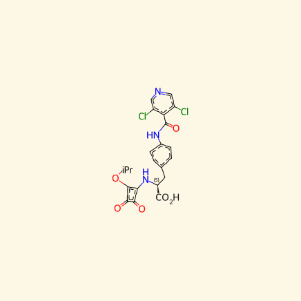 CC(C)Oc1c(N[C@@H](Cc2ccc(NC(=O)c3c(Cl)cncc3Cl)cc2)C(=O)O)c(=O)c1=O